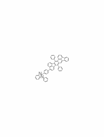 c1ccc(-c2c3cc4c5ccccc5c5cccc(c3c(-c3ccccc3)c3c6cccc7c(-c8ccc(-c9nc%10ccccc%10n9-c9ccccc9)cc8)ccc(c23)c76)c54)cc1